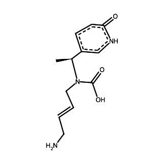 C[C@@H](c1ccc(=O)[nH]c1)N(C/C=C/CN)C(=O)O